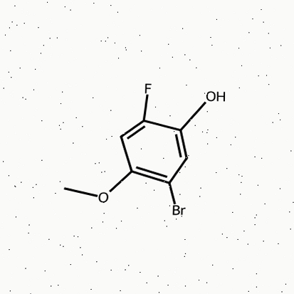 COc1cc(F)c(O)cc1Br